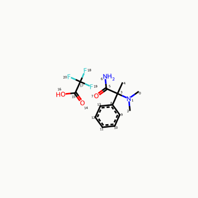 CN(C)C(C)(C(N)=O)c1ccccc1.O=C(O)C(F)(F)F